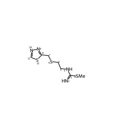 CSC(=N)NCCSCc1nncs1